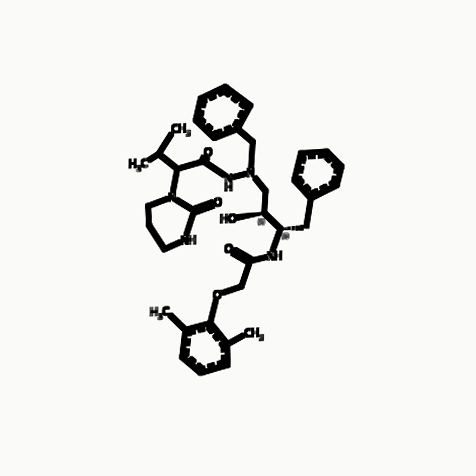 Cc1cccc(C)c1OCC(=O)N[C@@H](Cc1ccccc1)[C@@H](O)CN(Cc1ccccc1)NC(=O)C(C(C)C)N1CCCNC1=O